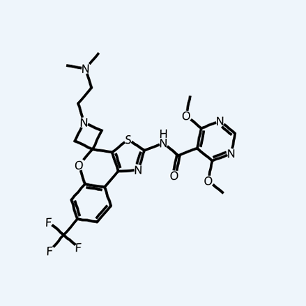 COc1ncnc(OC)c1C(=O)Nc1nc2c(s1)C1(CN(CCN(C)C)C1)Oc1cc(C(F)(F)F)ccc1-2